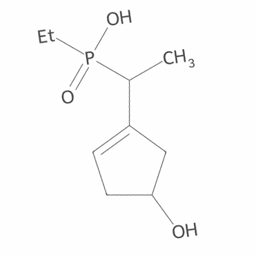 CCP(=O)(O)C(C)C1=CCC(O)C1